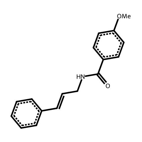 COc1ccc(C(=O)NCC=Cc2ccccc2)cc1